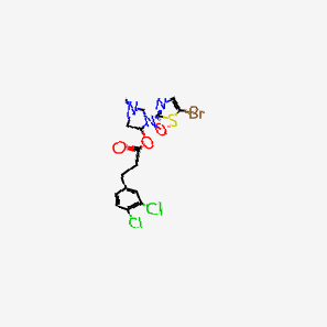 CN1CC(OC(=O)CCc2ccc(Cl)c(Cl)c2)[N+]([O-])(c2ncc(Br)s2)C1